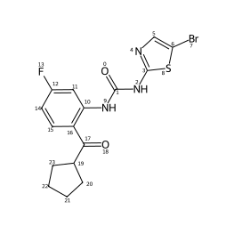 O=C(Nc1ncc(Br)s1)Nc1cc(F)ccc1C(=O)C1CCCC1